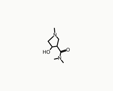 CN1CC(O)C(C(=O)N(C)C)C1